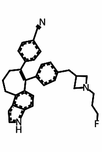 N#Cc1ccc(C2=C(c3ccc(CC4CN(CCCF)C4)cc3)c3ccc4[nH]ccc4c3CCC2)cc1